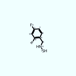 Fc1ccc(CNS)c(F)c1